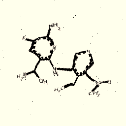 C=Cc1c(Nc2nc(N)c(F)cc2C(N)O)cncc1N(C)CC